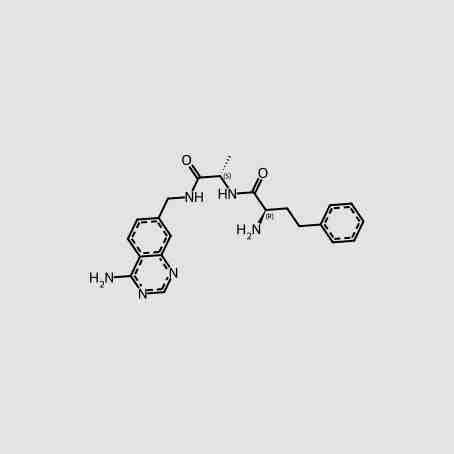 C[C@H](NC(=O)[C@H](N)CCc1ccccc1)C(=O)NCc1ccc2c(N)ncnc2c1